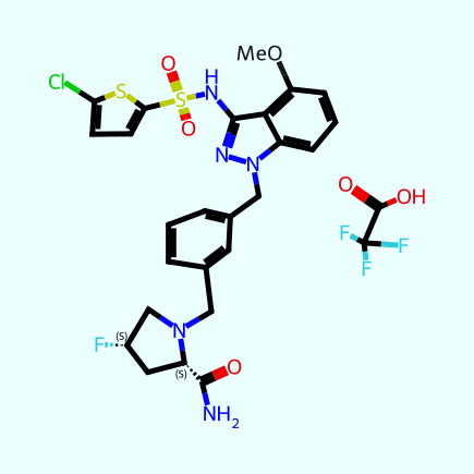 COc1cccc2c1c(NS(=O)(=O)c1ccc(Cl)s1)nn2Cc1cccc(CN2C[C@@H](F)C[C@H]2C(N)=O)c1.O=C(O)C(F)(F)F